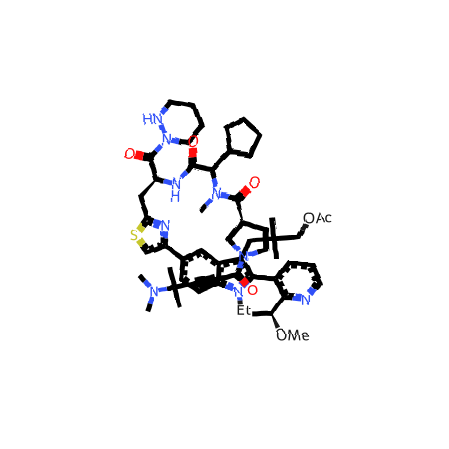 CCn1c(-c2cccnc2[C@H](C)OC)c(CC(C)(C)COC(C)=O)c2cc(-c3csc(C[C@H](NC(=O)C(C4CCCC4)N(C)C(=O)[C@H]4CCN(C(=O)C#CC(C)(C)N(C)C)C4)C(=O)N4CCCCN4)n3)ccc21